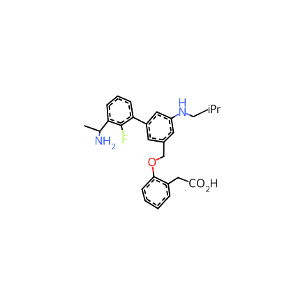 CC(C)CNc1cc(COc2ccccc2CC(=O)O)cc(-c2cccc(C(C)N)c2F)c1